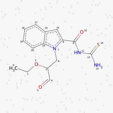 CCOC(C=O)Cn1c(C(=O)NC(N)=S)cc2ccccc21